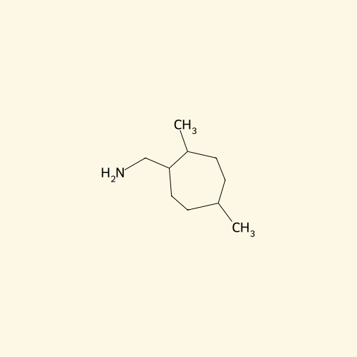 CC1CCC(C)C(CN)CC1